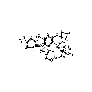 CC(C)c1nc2c(c(C3=CCOCC3)c1[C@H](O)c1ccc(C(F)(F)F)cc1)[C@@H](O[Si](C)(C)C(C)(C)C)CC1(CCC1)C2